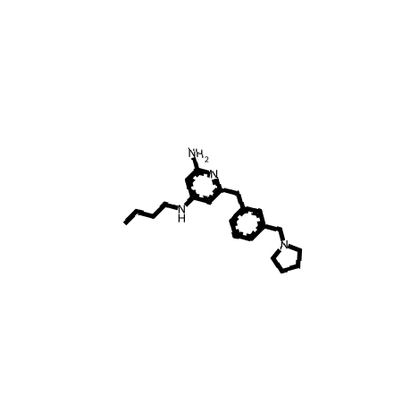 CCCCNc1cc(N)nc(Cc2cccc(CN3CCCC3)c2)c1